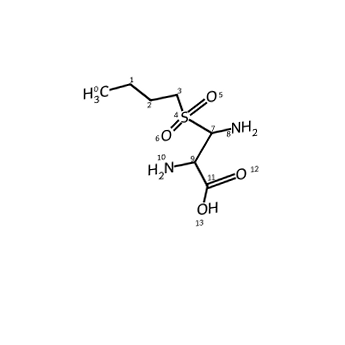 CCCCS(=O)(=O)C(N)C(N)C(=O)O